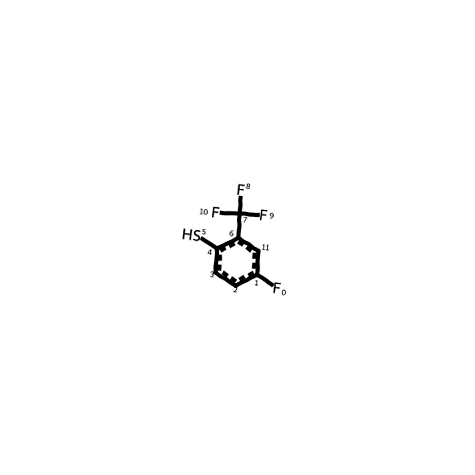 Fc1ccc(S)c(C(F)(F)F)c1